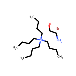 CCCC[N+](CCCC)(CCCC)CCCC.NCCO.[Br-]